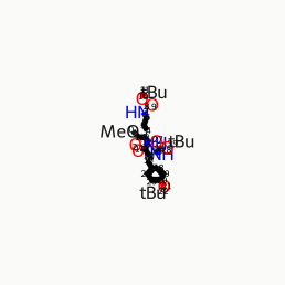 COC(=O)[C@H](CCCNC(=O)OC(C)(C)C)NC(=O)[C@H](Cc1ccc(OC(C)(C)C)cc1)NC(=O)OC(C)(C)C